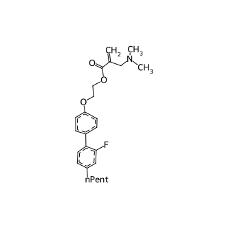 C=C(CN(C)C)C(=O)OCCOc1ccc(-c2ccc(CCCCC)cc2F)cc1